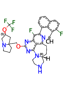 C#Cc1c(F)ccc2cccc(-c3nc4c5c(nc(OCC67CCCN6C[C@@H](OC(F)(F)F)C7)nc5c3F)N3CCNC[C@H]3CC4)c12